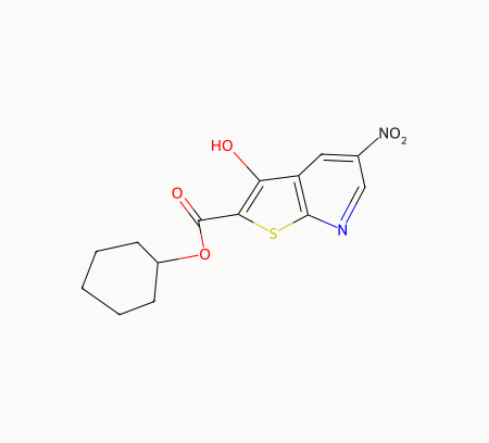 O=C(OC1CCCCC1)c1sc2ncc([N+](=O)[O-])cc2c1O